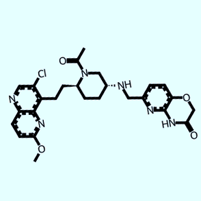 COc1ccc2ncc(Cl)c(CC[C@@H]3CC[C@@H](NCc4ccc5c(n4)NC(=O)CO5)CN3C(C)=O)c2n1